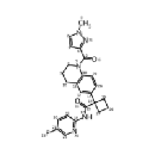 Cn1ccc(C(=O)N2CCCc3cc(C4(C(=O)Nc5ccc(F)cn5)CCC4)ccc32)n1